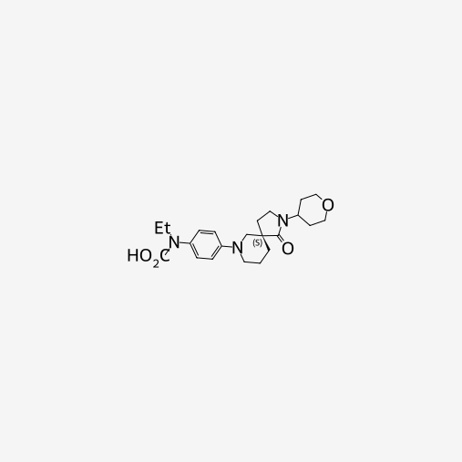 CCN(C(=O)O)c1ccc(N2CCC[C@]3(CCN(C4CCOCC4)C3=O)C2)cc1